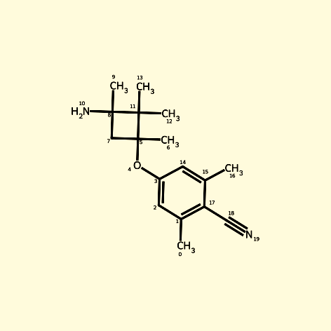 Cc1cc(OC2(C)CC(C)(N)C2(C)C)cc(C)c1C#N